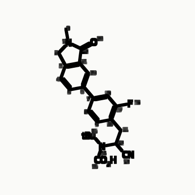 CN1Cc2ccc(-c3ccc(CC(C#N)N(C(=O)O)C(C)(C)C)c(F)c3)cc2C1=O